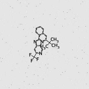 CC(C)(C)c1cc2ccccc2c2nc3cc(C(F)(F)F)ncc3n12